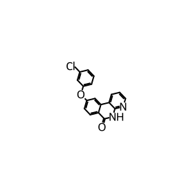 O=c1[nH]c2ncccc2c2cc(Oc3cccc(Cl)c3)ccc12